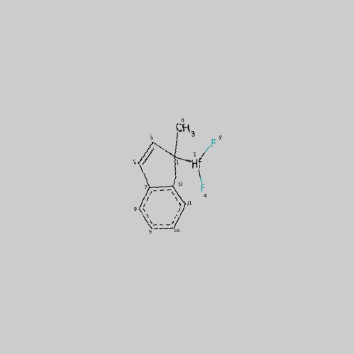 C[C]1([Hf]([F])[F])C=Cc2ccccc21